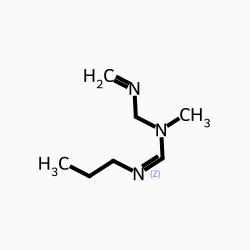 C=NCN(C)/C=N\CCC